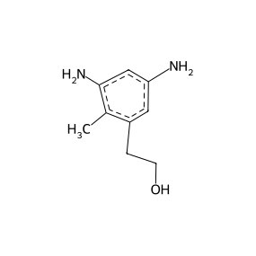 Cc1c(N)cc(N)cc1CCO